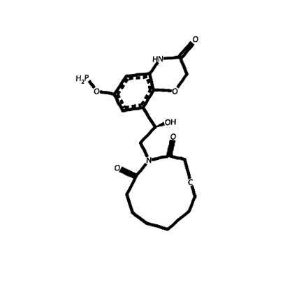 O=C1COc2c(cc(OP)cc2[C@@H](O)CN2C(=O)CCCCCCCCC2=O)N1